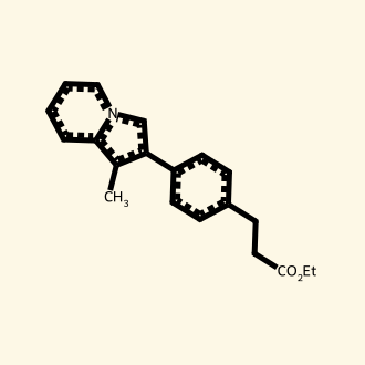 CCOC(=O)CCc1ccc(-c2cn3ccccc3c2C)cc1